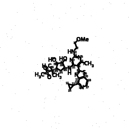 COCCNc1nc(C)c(-c2nc3c(C4CC4)nccc3s2)c(N[C@@H]2C[C@H](C(C)(C)S(C)(=O)=O)[C@@H](O)[C@H]2O)n1